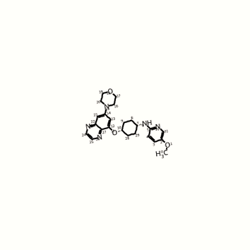 COc1ccc(N[C@H]2CC[C@@H](Oc3cc(N4CCOCC4)cc4nccnc34)CC2)nc1